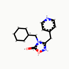 O=c1onc(Cc2ccncc2)n1CC1CCCCC1